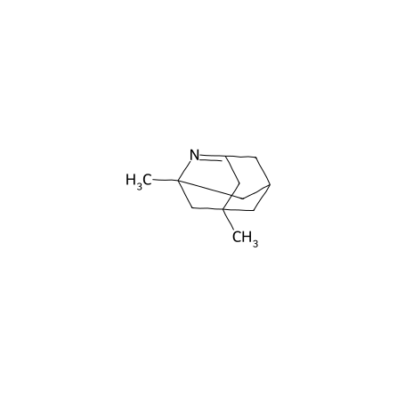 CC12CC3=NC(C)(CC(C3)C1)C2